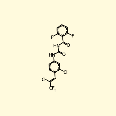 O=C(NC(=O)c1c(F)cccc1F)Nc1ccc(C=C(Cl)C(F)(F)F)c(Cl)c1